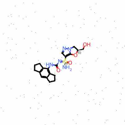 N[S@](=O)(=NC(=O)Nc1c2c(cc3c1CCC3)CCC2)c1cnn2c1O[C@H](CO)C2